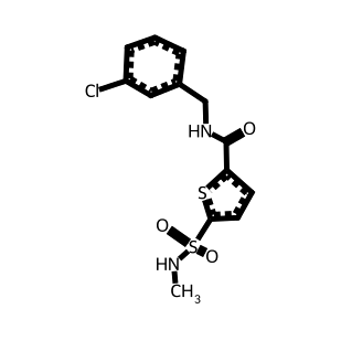 CNS(=O)(=O)c1ccc(C(=O)NCc2cccc(Cl)c2)s1